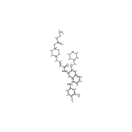 CCOC(=O)CN1CCN(C/C=C/C(=O)Nc2cc3c(Nc4ccc(F)c(Cl)c4)ncnc3cc2OCC2CCCCC2)CC1